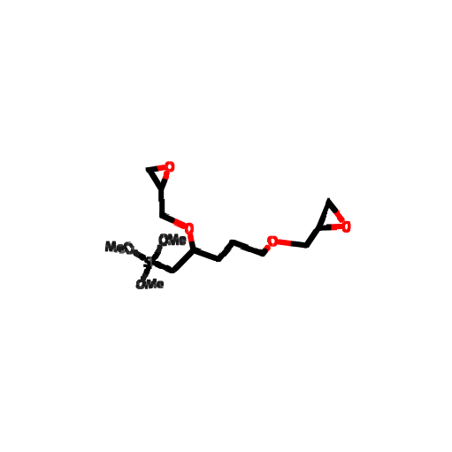 CO[Si](CC(CCCOCC1CO1)OCC1CO1)(OC)OC